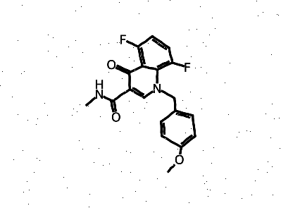 CNC(=O)c1cn(Cc2ccc(OC)cc2)c2c(F)ccc(F)c2c1=O